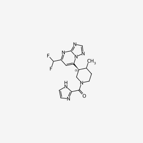 CC1CCN(C(=O)c2ncc[nH]2)C[C@H]1c1cc(C(F)F)nc2ncnn12